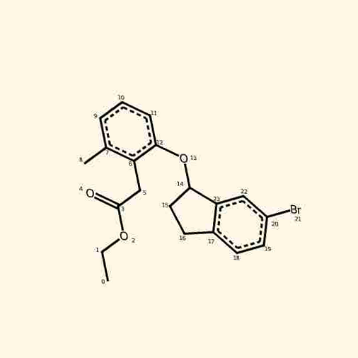 CCOC(=O)Cc1c(C)cccc1OC1CCc2ccc(Br)cc21